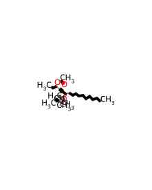 CCCCCCCCCCC[C@@H](C#C[C@H](CC)OC(C)=O)O[Si](C)(C)C(C)(C)C